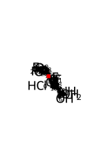 Cl.NC(CO)(CO)CCc1ccc(OCCCc2ccc3c(c2)OC(F)(F)O3)c(C(F)(F)F)c1